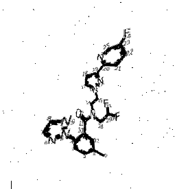 Cc1ccc(-n2nccn2)c(C(=O)N(CCn2ccc(-c3ccc(F)cn3)n2)CC(F)F)c1